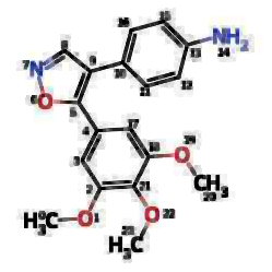 COc1cc(-c2oncc2-c2ccc(N)cc2)cc(OC)c1OC